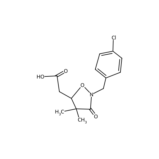 CC1(C)C(=O)N(Cc2ccc(Cl)cc2)OC1CC(=O)O